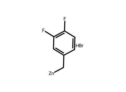 Br.Fc1ccc([CH2][Zn])cc1F